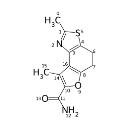 Cc1nc2c(s1)CCc1oc(C(N)=O)c(C)c1-2